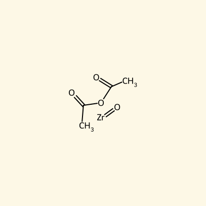 CC(=O)OC(C)=O.[O]=[Zr]